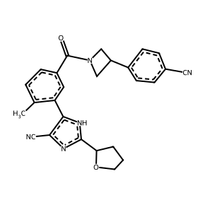 Cc1ccc(C(=O)N2CC(c3ccc(C#N)cc3)C2)cc1-c1[nH]c(C2CCCO2)nc1C#N